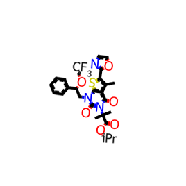 Cc1c(-c2ncco2)sc2c1c(=O)n(C(C)(C)C(=O)OC(C)C)c(=O)n2CC(OCC(F)(F)F)c1ccccc1